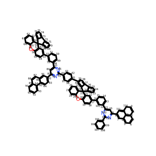 C1=Cc2cccc3cc(-c4cc(-c5cccc(-c6ccc7c(c6)C6(c8ccccc8O7)c7ccccc7-c7ccc(-c8ccc(-c9nc(-c%10cccc(-c%11ccc%12c(c%11)C%11(c%13ccccc%13O%12)c%12ccccc%12-c%12ccccc%12%11)c%10)cc(-c%10ccc%11c(ccc%12ccccc%12%11)c%10)n9)cc8)cc76)c5)nc(-c5ccccc5)n4)cc(c23)C1